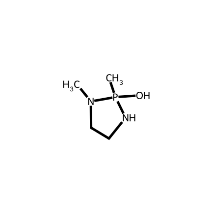 CN1CCN[P]1(C)O